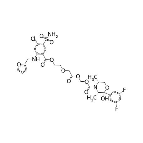 C[C@@H]1CO[C@@](O)(c2cc(F)cc(F)c2)[C@H](C)N1C(=O)OCOC(=O)COCCOC(=O)c1cc(S(N)(=O)=O)c(Cl)cc1NCc1ccco1